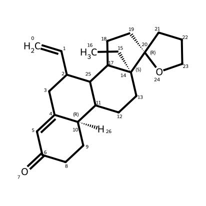 C=CC1CC2=CC(=O)CC[C@@H]2C2CC[C@@]3(CC)C(CC[C@@]34CCCO4)C12